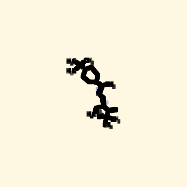 C=C/C(=C\N=C(/N)N1CCN(C(C)(C)C)CC1)C(=O)C(C)(C)C